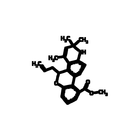 C=CCC1Oc2cccc(C(=O)OC)c2-c2ccc3c(c21)C(C)=CC(C)(C)N3